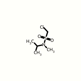 CC(C)N(C)S(=O)(=O)CCl